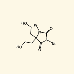 CCN1C(=O)N(CC)C(CCO)(CCO)C1=O